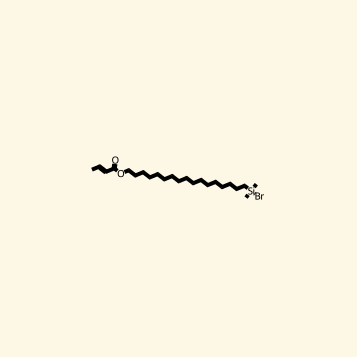 CC=CC(=O)OCCCCCCCCCCCCCCCCC[Si](C)(C)Br